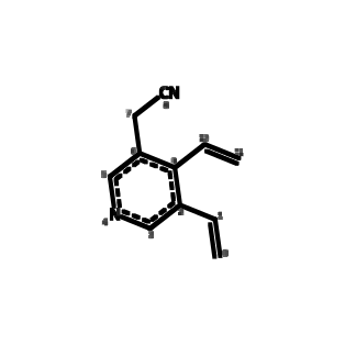 C=Cc1cncc(CC#N)c1C=C